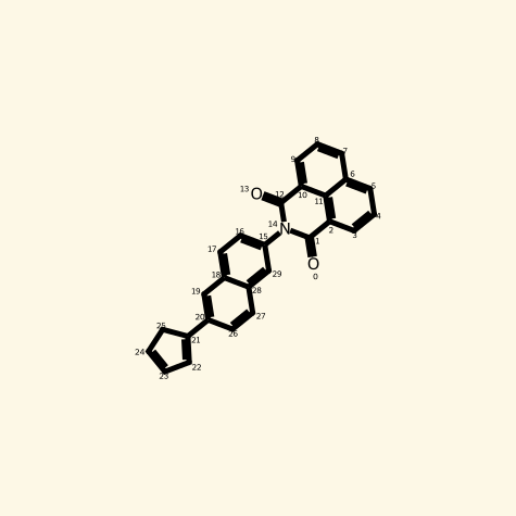 O=C1c2cccc3cccc(c23)C(=O)N1c1ccc2cc(C3=CC=CC3)ccc2c1